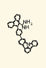 N=C(N)c1c(-c2ccc(-c3ccc4c5cccc6c7ccccc7n(c4c3)c65)cc2)c2ccccc2c2ccccc12